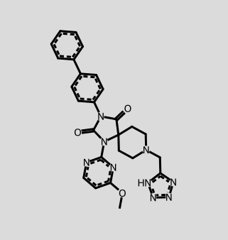 COc1ccnc(N2C(=O)N(c3ccc(-c4ccccc4)cc3)C(=O)C23CCN(Cc2nnn[nH]2)CC3)n1